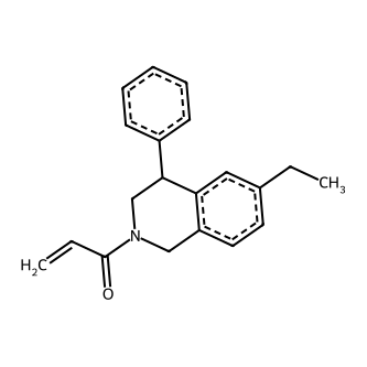 C=CC(=O)N1Cc2ccc(CC)cc2C(c2ccccc2)C1